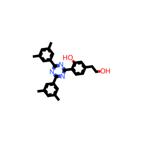 Cc1cc(C)cc(-c2nc(-c3cc(C)cc(C)c3)nc(-c3ccc(CCO)cc3O)n2)c1